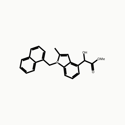 COC(=O)C(O)c1cccc2c1cc(C)n2Cc1cccc2ccccc12